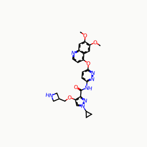 COc1cc2nccc(Oc3ccc(NC(=O)c4nn(C5CC5)cc4OCC4CNC4)nn3)c2cc1OC